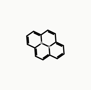 C1=CC2=CC=C3C=CC=C4C=CC(=C1)B2N43